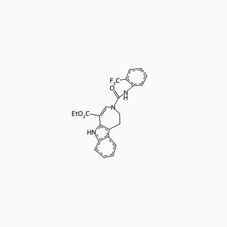 CCOC(=O)C1=CN(C(=O)Nc2ccccc2C(F)(F)F)CCc2c1[nH]c1ccccc21